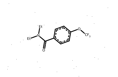 CCN(CC)C(=O)c1ccc(OC(F)(F)F)cc1